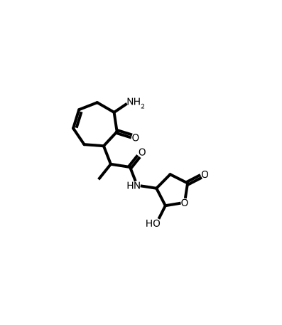 CC(C(=O)NC1CC(=O)OC1O)C1CC=CCC(N)C1=O